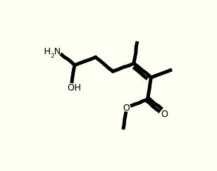 COC(=O)C(C)=C(C)CCC(N)O